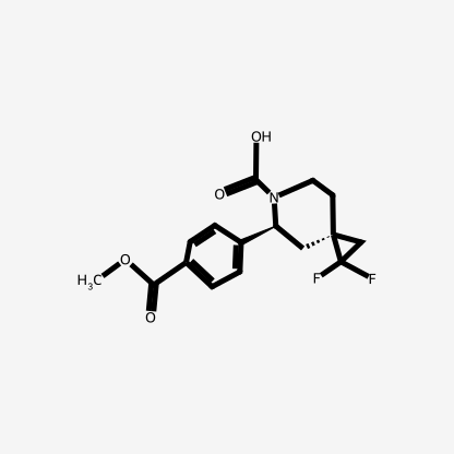 COC(=O)c1ccc([C@@H]2C[C@]3(CCN2C(=O)O)CC3(F)F)cc1